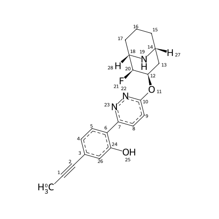 CC#Cc1ccc(-c2ccc(O[C@@H]3C[C@H]4CCC[C@H](N4)[C@@H]3F)nn2)c(O)c1